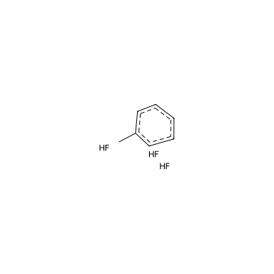 Cc1ccccc1.F.F.F